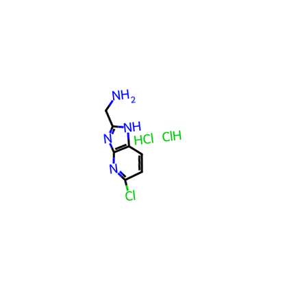 Cl.Cl.NCc1nc2nc(Cl)ccc2[nH]1